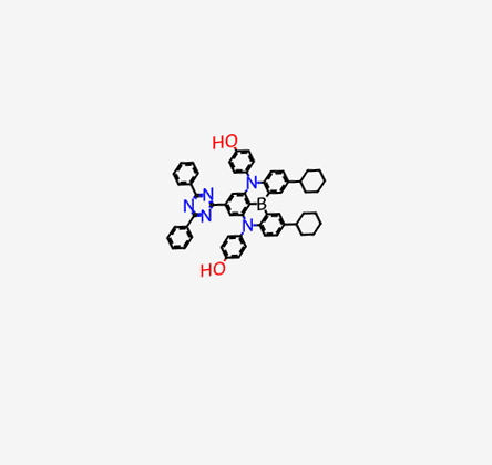 Oc1ccc(N2c3ccc(C4CCCCC4)cc3B3c4cc(C5CCCCC5)ccc4N(c4ccc(O)cc4)c4cc(-c5nc(-c6ccccc6)nc(-c6ccccc6)n5)cc2c43)cc1